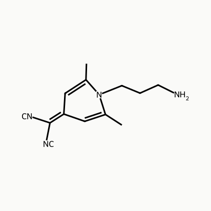 [C-]#[N+]C([N+]#[C-])=C1C=C(C)N(CCCN)C(C)=C1